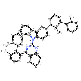 Cc1ccccc1-c1cccc(-c2ccc3c(c2)c2ccccc2n3-c2nc(-c3cccc(C)c3-c3ccccc3C)c3ccccc3n2)c1C